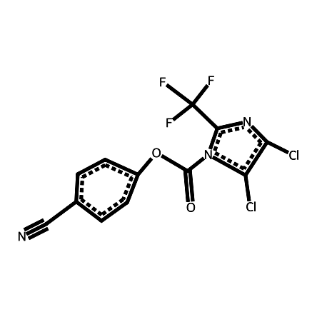 N#Cc1ccc(OC(=O)n2c(C(F)(F)F)nc(Cl)c2Cl)cc1